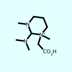 CN(C)C1N(C)CCC[N+]1(C)CC(=O)O